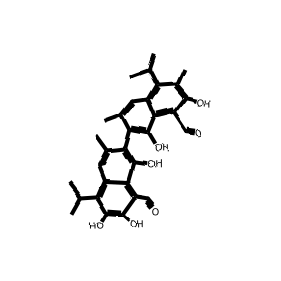 Cc1cc2c(C(C)C)c(C)c(O)c(C=O)c2c(O)c1-c1c(C)cc2c(C(C)C)c(O)c(O)c(C=O)c2c1O